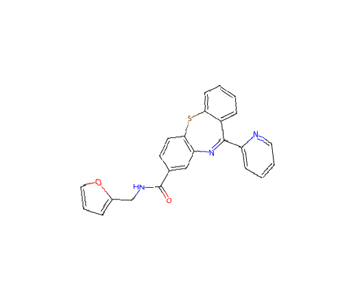 O=C(NCc1ccco1)c1ccc2c(c1)N=C(c1ccccn1)c1ccccc1S2